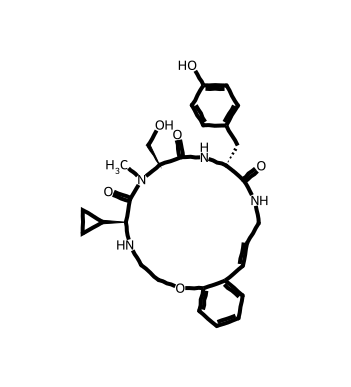 CN1C(=O)[C@H](C2CC2)NCCOc2ccccc2/C=C/CNC(=O)[C@@H](Cc2ccc(O)cc2)NC(=O)[C@@H]1CO